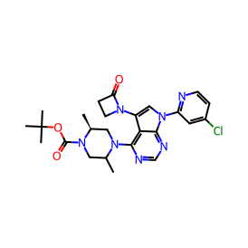 CC1CN(C(=O)OC(C)(C)C)[C@@H](C)CN1c1ncnc2c1c(N1CCC1=O)cn2-c1cc(Cl)ccn1